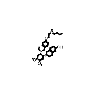 CCCCN(C)CCOc1ccc(CN(CC)C2C=C(OC)C(OC)=CC2[C@@H]2CCc3cc(O)ccc3C2)cc1